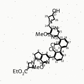 CCOC(=O)C1CN([C@H]2CCc3cc(-c4cccc(-c5cccc(-c6cnc(CN7CC(O)C7)c(OC)n6)c5Cl)c4Cl)nc(OC)c32)C1